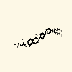 CCC(=O)Nc1ccc2c(c1)CCN(c1ccc(N3CC[C@@H](N(C)C)C3)c(F)c1)C2=O